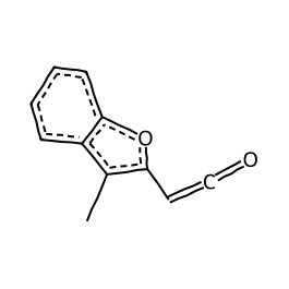 Cc1c(C=C=O)oc2ccccc12